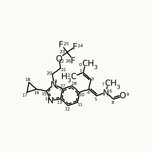 CC(C)=C/C(=C\N(C)C=O)c1ccc2nc(C3CC3)n(CCOC(F)(F)F)c2c1